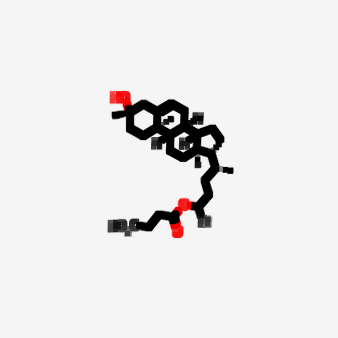 CCC(CC[C@@H](C)[C@H]1CC[C@H]2[C@@H]3CC=C4C[C@@](C)(O)CC[C@]4(C)[C@H]3CC[C@]12C)OC(=O)CCC(=O)O